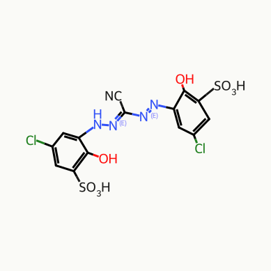 N#CC(/N=N/c1cc(Cl)cc(S(=O)(=O)O)c1O)=N\Nc1cc(Cl)cc(S(=O)(=O)O)c1O